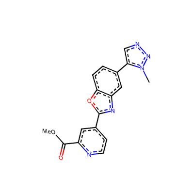 COC(=O)c1cc(-c2nc3cc(-c4cnnn4C)ccc3o2)ccn1